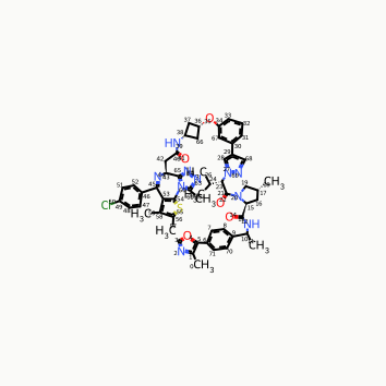 Cc1ncoc1-c1ccc(C(C)NC(=O)[C@@H]2C[C@@H](C)CN2C(=O)[C@H](C(C)C)n2cc(-c3cccc(O[C@H]4C[C@@H](NC(=O)C[C@@H]5N=C(c6ccc(Cl)cc6)c6c(sc(C)c6C)-n6c(C)nnc65)C4)c3)cn2)cc1